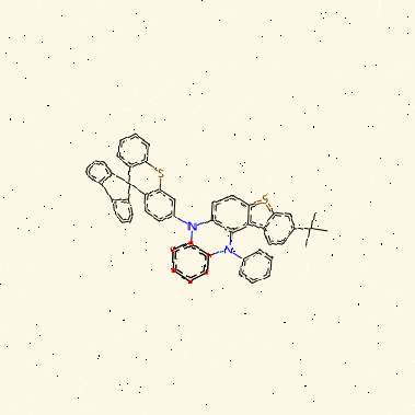 CC(C)(C)c1ccc2c(c1)sc1ccc(N(c3ccccc3)c3ccc4c(c3)Sc3ccccc3C43c4ccccc4-c4ccccc43)c(N(c3ccccc3)c3ccccc3)c12